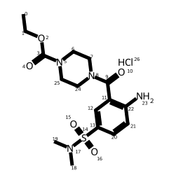 CCOC(=O)N1CCN(C(=O)c2cc(S(=O)(=O)N(C)C)ccc2N)CC1.Cl